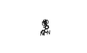 Cc1nccc(-c2cccc(B3OC(C)(C)C(C)(C)O3)c2C)c1C#N